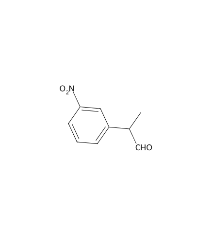 CC(C=O)c1cccc([N+](=O)[O-])c1